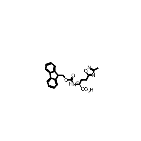 Cc1noc(CC[C@H](NC(=O)OCC2c3ccccc3-c3ccccc32)C(=O)O)n1